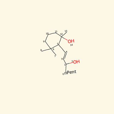 CCCCCC(O)/C=C/C1C(C)(C)CCCC1(C)O